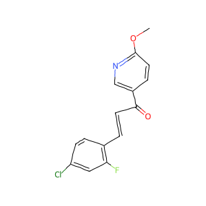 COc1ccc(C(=O)C=Cc2ccc(Cl)cc2F)cn1